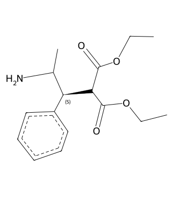 CCOC(=O)C(C(=O)OCC)[C@@H](c1ccccc1)C(C)N